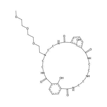 COCCOCCOCCN1CCNC(=O)c2cccc(c2O)C(=O)NCCNCCNC(=O)c2cccc(c2O)C(=O)NCC1